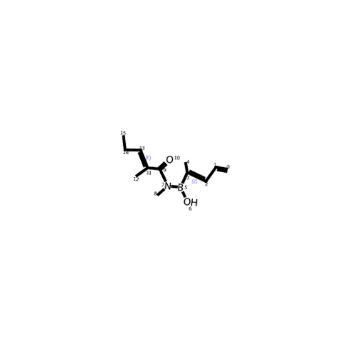 C=C/C=C(\C)B(O)N(C)C(=O)/C(C)=C/CC